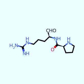 N=C(N)NCCC[C@@H](C=O)NC(=O)[C@@H]1CCCN1